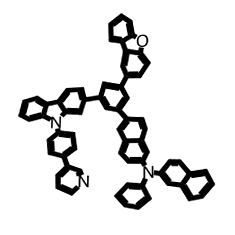 c1ccc(N(c2ccc3ccccc3c2)c2ccc3cc(-c4cc(-c5ccc6oc7ccccc7c6c5)cc(-c5ccc6c7ccccc7n(-c7ccc(-c8cccnc8)cc7)c6c5)c4)ccc3c2)cc1